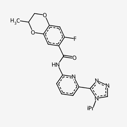 CC1COc2cc(F)c(C(=O)Nc3cccc(-c4nncn4C(C)C)n3)cc2O1